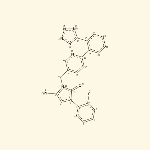 CCCc1cn(-c2ccccc2Cl)c(=O)n1Cc1ccc(-c2ccccc2-c2nnn[nH]2)nc1